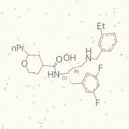 CCCC1CC(C(=O)N[C@@H](Cc2cc(F)cc(F)c2)[C@H](O)CNCc2cccc(CC)c2)CCO1